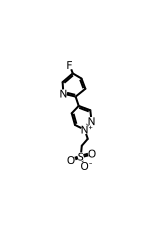 O=S(=O)([O-])CC[n+]1ccc(-c2ccc(F)cn2)cn1